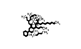 C=CCCC.C=CCCCCCCC(CC(CCC)CC(CC(C=C)C1CCCCC1)=C(C)CC(CCC)CCC(C)(C)C=C)C(=C)C